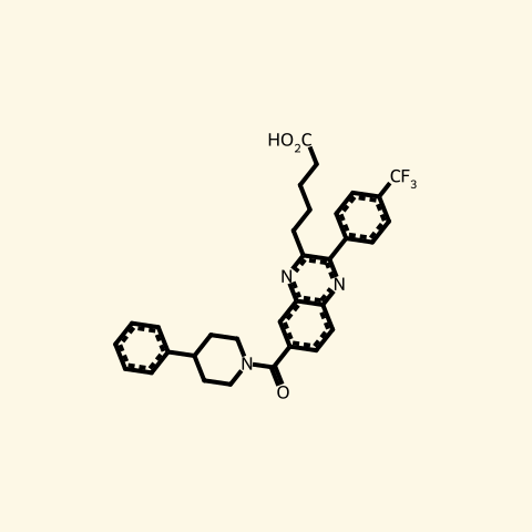 O=C(O)CCCCc1nc2cc(C(=O)N3CCC(c4ccccc4)CC3)ccc2nc1-c1ccc(C(F)(F)F)cc1